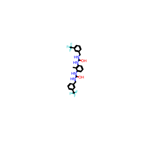 Cc1c(NC(O)NCc2cccc(C(F)(F)F)c2)cccc1NC(O)NCc1cccc(C(F)(F)F)c1